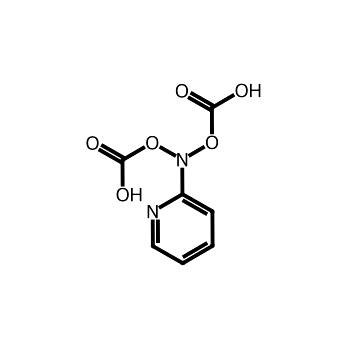 O=C(O)ON(OC(=O)O)c1ccccn1